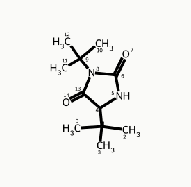 CC(C)(C)C1NC(=O)N(C(C)(C)C)C1=O